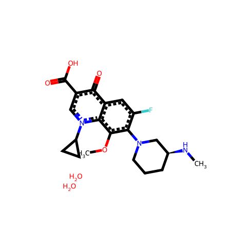 CN[C@H]1CCCN(c2c(F)cc3c(=O)c(C(=O)O)cn(C4CC4)c3c2OC)C1.O.O